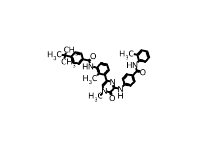 Cc1ccccc1NC(=O)c1ccc(Nc2nc(-c3cccc(NC(=O)c4ccc(C(C)(C)C)cc4)c3C)cn(C)c2=O)cc1